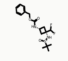 CC(C)(C)[S+]([O-])N[C@]1(C(F)F)C[C@H](NC(=O)OCc2ccccc2)C1